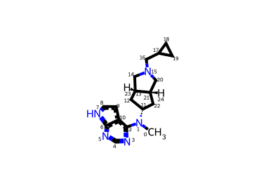 CN(c1ncnc2[nH]ccc12)[C@@H]1C[C@@H]2CN(CC3CC3)C[C@@H]2C1